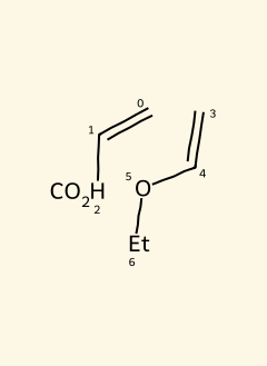 C=CC(=O)O.C=COCC